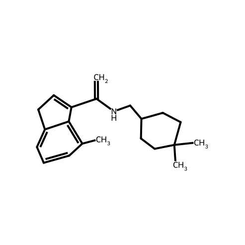 C=C(NCC1CCC(C)(C)CC1)C1=CCc2cccc(C)c21